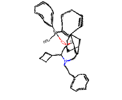 CC(C)(C)[Si](O[C@H]1C2CC3CC(C2)C1N(Cc1ccccc1)C3C1CCC1)(c1ccccc1)c1ccccc1